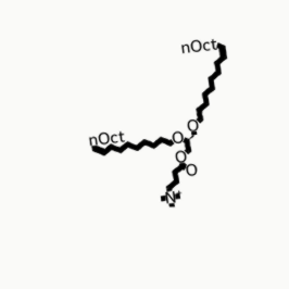 CCCCCCCC/C=C\CCCCCCCCOC[C@H](COC(=O)CCC[N+](C)(C)C)OCCCCCCCC/C=C\CCCCCCCC